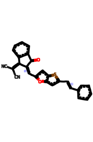 N#CC(C#N)=C1/C(=C/c2cc3sc(/C=C/c4ccccc4)cc3o2)C(=O)c2ccccc21